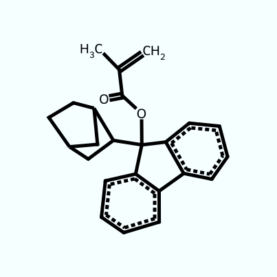 C=C(C)C(=O)OC1(C2CC3CCC2C3)c2ccccc2-c2ccccc21